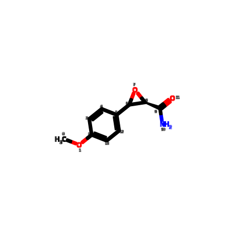 COc1ccc(C2O[C@H]2C(N)=O)cc1